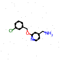 NCc1ccnc(OCc2cccc(Cl)c2)c1